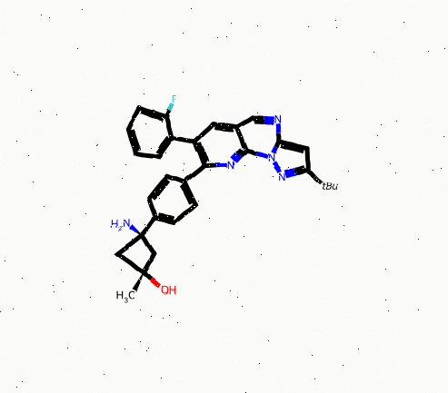 CC(C)(C)c1cc2ncc3cc(-c4ccccc4F)c(-c4ccc([C@]5(N)C[C@](C)(O)C5)cc4)nc3n2n1